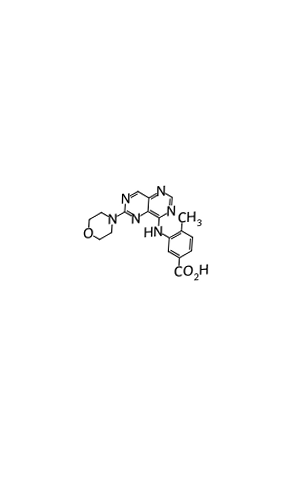 Cc1ccc(C(=O)O)cc1Nc1ncnc2cnc(N3CCOCC3)nc12